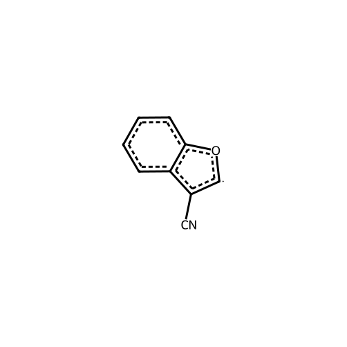 N#Cc1[c]oc2ccccc12